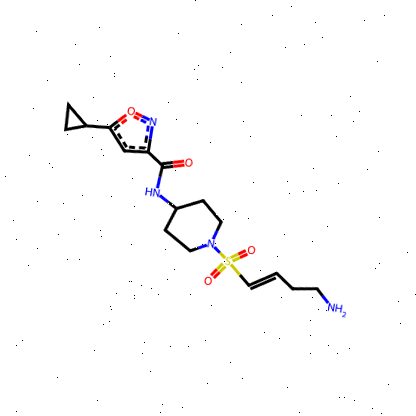 NCC/C=C/S(=O)(=O)N1CCC(NC(=O)c2cc(C3CC3)on2)CC1